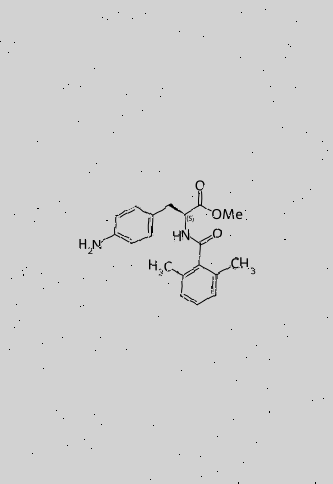 COC(=O)[C@H](Cc1ccc(N)cc1)NC(=O)c1c(C)cccc1C